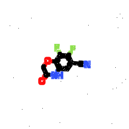 N#Cc1cc2c(c(F)c1F)OCC(=O)N2